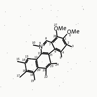 COc1c(C)c(C)c2c(c[n+](C)c3c4cc(C)c(C)c(C)c4c(C)c(C)c23)c1OC